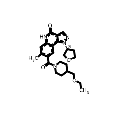 CCOCC1CCN(C(=O)c2cc3c(cc2C)[nH]c(=O)c2cnn([C@@H]4CCOC4)c23)CC1